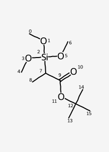 CO[Si](OC)(OC)C(C)C(=O)OC(C)(C)C